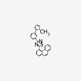 CC1C=CC=C1c1cccc(-c2nsc(-c3cccc4ccc5ccccc5c34)n2)c1